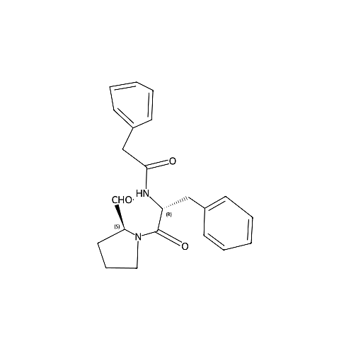 O=[C][C@@H]1CCCN1C(=O)[C@@H](Cc1ccccc1)NC(=O)Cc1ccccc1